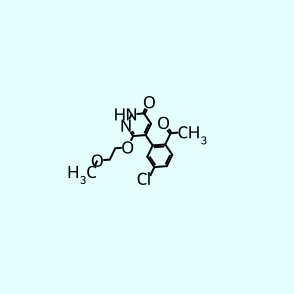 COCCOc1n[nH]c(=O)cc1-c1cc(Cl)ccc1C(C)=O